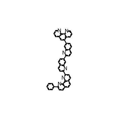 c1ccc(-c2ccc3ccc4ccc(-c5ccc6ccc(-c7ccc8ccc(-c9cc%10cccnc%10c%10ncccc9%10)cc8n7)cc6n5)nc4c3n2)cc1